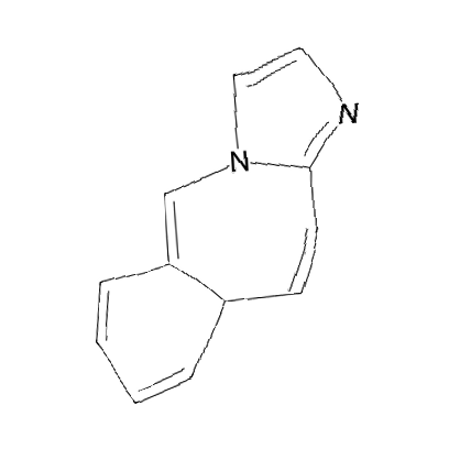 C1=CC2=Cn3ccnc3C=CC2C=C1